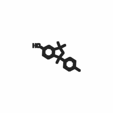 Cc1ccc(C2(C)CC(C)(C)c3cc(O)ccc32)cc1